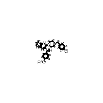 CCOc1ccc(Nc2nc3nonc3nc2N2CCN(Cc3ccc(Cl)cc3)CC2)cc1